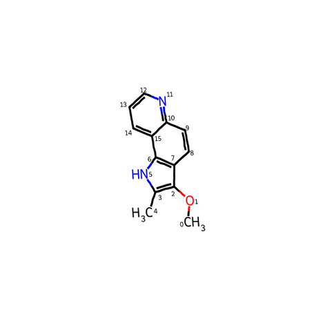 COc1c(C)[nH]c2c1ccc1ncccc12